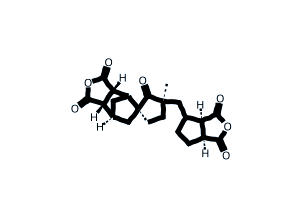 C[C@]1(CC2CC[C@@H]3C(=O)OC(=O)[C@H]23)CC[C@@]2(C[C@@H]3CC2[C@H]2C(=O)OC(=O)[C@@H]32)C1=O